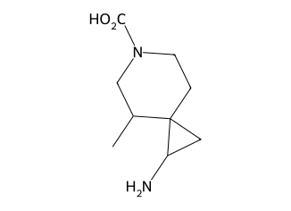 CC1CN(C(=O)O)CCC12CC2N